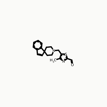 Cc1nc(C=O)sc1CN1CCC2(C=Cc3ccccc32)CC1